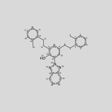 Cc1ccccc1CCc1cc(CCc2ccccc2C)c(O)c(-n2nc3ccccc3n2)c1